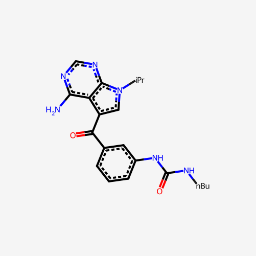 CCCCNC(=O)Nc1cccc(C(=O)c2cn(C(C)C)c3ncnc(N)c23)c1